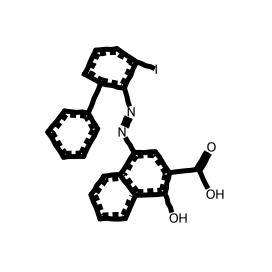 O=C(O)c1cc(N=Nc2c(I)cccc2-c2ccccc2)c2ccccc2c1O